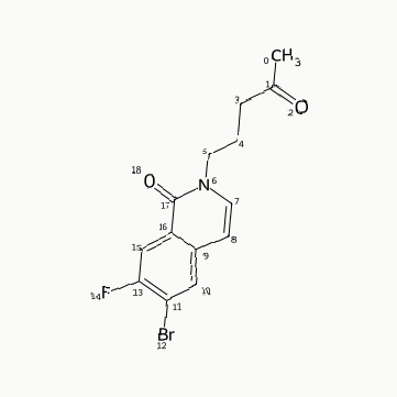 CC(=O)CCCn1ccc2cc(Br)c(F)cc2c1=O